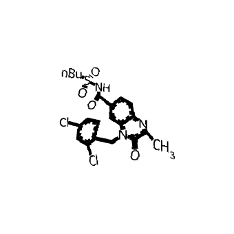 CCCCS(=O)(=O)NC(=O)c1ccc2nc(C)c(=O)n(Cc3ccc(Cl)cc3Cl)c2c1